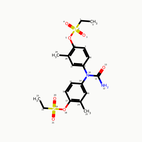 CCS(=O)(=O)Oc1ccc(N(C(N)=O)c2ccc(OS(=O)(=O)CC)c(C)c2)cc1C